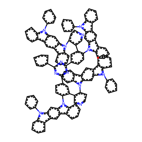 c1ccc(-c2nc(-c3ccc(-n4c5ccccc5c5cc6c7ccccc7n(-c7ccccc7)c6cc54)c(-c4cnccc4-n4c5ccccc5c5cc6c7ccccc7n(-c7ccccc7)c6cc54)c3)nc(-c3ccc(-n4c5ccccc5c5cc6c7ccccc7n(-c7ccccc7)c6cc54)c(-c4cnccc4-n4c5ccccc5c5cc6c7ccccc7n(-c7ccccc7)c6cc54)c3)n2)cc1